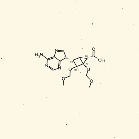 COCO[C@@]1(C)[C@H](n2cnc3c(N)ncnc32)C2[C@H](C(=O)O)[C@@]21OCOC